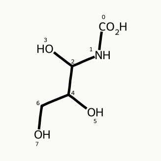 O=C(O)NC(O)C(O)CO